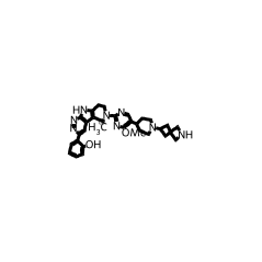 COc1nc(N2CCc3[nH]c4nnc(-c5ccccc5O)cc4c3[C@H]2C)ncc1C1CCN(C2CC3(CNC3)C2)CC1